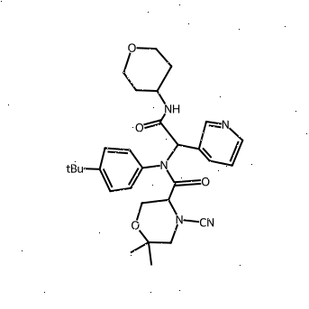 CC1(C)CN(C#N)C(C(=O)N(c2ccc(C(C)(C)C)cc2)C(C(=O)NC2CCOCC2)c2cccnc2)CO1